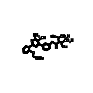 COCOc1ccccc1-c1cc(-c2cccc(CNC(N(C(=O)O)C(C)(C)C)N(C(=O)O)C(C)(C)C)c2)c(C#N)c(N)n1